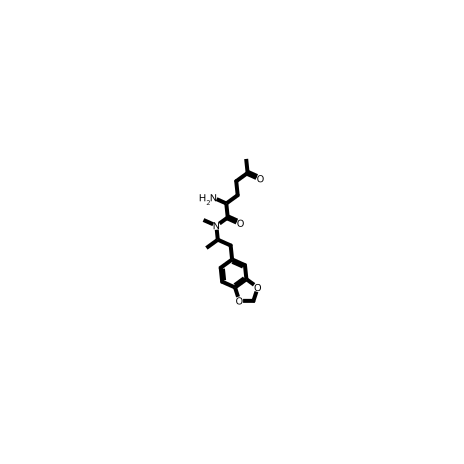 CC(=O)CCC(N)C(=O)N(C)C(C)Cc1ccc2c(c1)OCO2